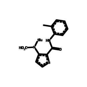 Cc1ccccc1NC(=O)c1sccc1N(C(=O)O)C(C)(C)C